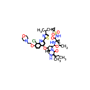 C=C[C@@H]1C[C@]1(NC(=O)[C@@H]1C[C@@H](Oc2cc(-c3nc(C(C)C)cs3)nc3c(Cl)c(OCCN4CCOCC4)ccc23)[C@H]2CN[C@H]([C@H](C)CC)C(=O)N21)C(=O)NS(=O)(=O)C1CC1